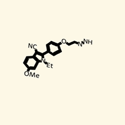 CCn1c(-c2ccc(OCCN=N)cc2)c(C#N)c2ccc(OC)cc21